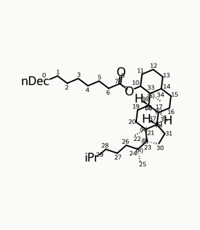 CCCCCCCCCCCCCCCCC(=O)OC1CCCC2CC[C@@H]3[C@H](CC[C@]4(C)[C@@H]([C@H](C)CCCC(C)C)CC[C@@H]34)[C@]21C